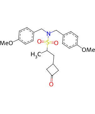 COc1ccc(CN(Cc2ccc(OC)cc2)S(=O)(=O)C(C)CC2CC(=O)C2)cc1